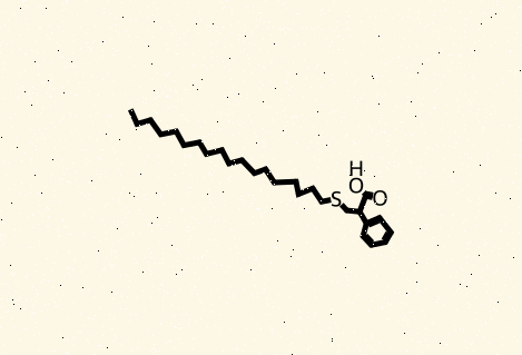 CCCCCCCCCCCCCCCCCCSCC(C(=O)O)c1ccccc1